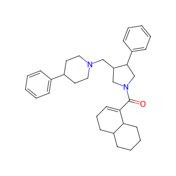 O=C(C1=CCCC2CCCCC12)N1CC(CN2CCC(c3ccccc3)CC2)C(c2ccccc2)C1